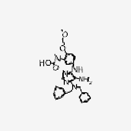 COCCOc1ccc(Nc2ncnc(N(Cc3ccccc3)Cc3ccccc3)c2N)cc1N(C)C(=O)O